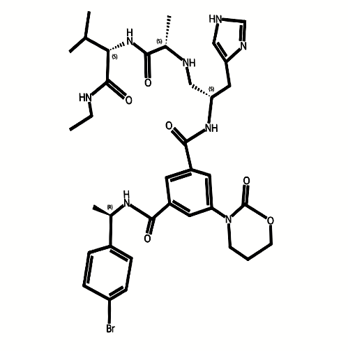 CCNC(=O)[C@@H](NC(=O)[C@H](C)NC[C@H](Cc1c[nH]cn1)NC(=O)c1cc(C(=O)N[C@H](C)c2ccc(Br)cc2)cc(N2CCCOC2=O)c1)C(C)C